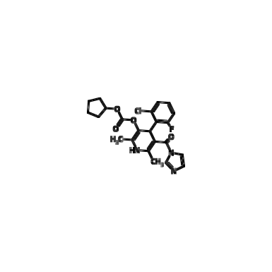 CC1=C(OC(=O)OC2CCCC2)C(c2c(F)cccc2Cl)C(C(=O)n2ccnc2)=C(C)N1